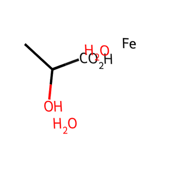 CC(O)C(=O)O.O.O.[Fe]